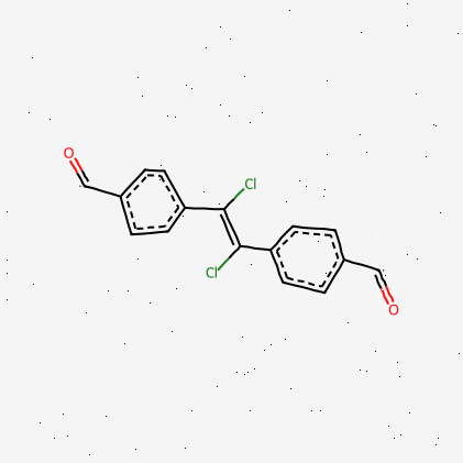 O=[C]c1ccc(C(Cl)=C(Cl)c2ccc([C]=O)cc2)cc1